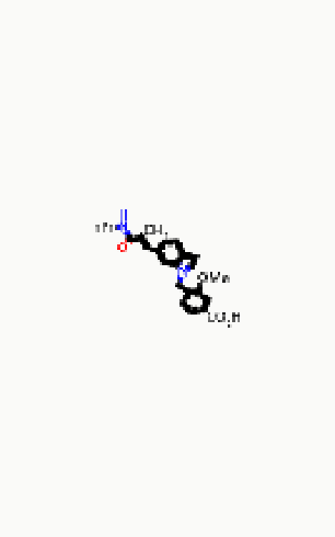 CCCNC(=O)/C(C)=C/c1ccc2ccn(Cc3ccc(C(=O)O)cc3OC)c2c1